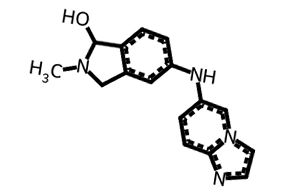 CN1Cc2cc(Nc3ccc4nccn4c3)ccc2C1O